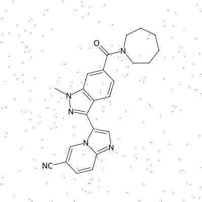 Cn1nc(-c2cnc3ccc(C#N)cn23)c2ccc(C(=O)N3CCCCCC3)cc21